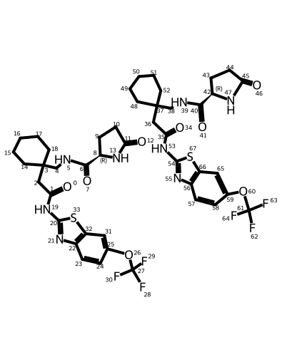 O=C(CC1(CNC(=O)[C@H]2CCC(=O)N2)CCCCC1)Nc1nc2ccc(OC(F)(F)F)cc2s1.O=C(CC1(CNC(=O)[C@H]2CCC(=O)N2)CCCCC1)Nc1nc2ccc(OC(F)(F)F)cc2s1